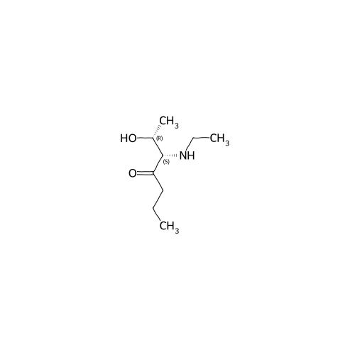 CCCC(=O)[C@@H](NCC)[C@@H](C)O